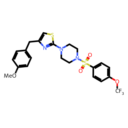 COc1ccc(Cc2csc(N3CCN(S(=O)(=O)c4ccc(OC(F)(F)F)cc4)CC3)n2)cc1